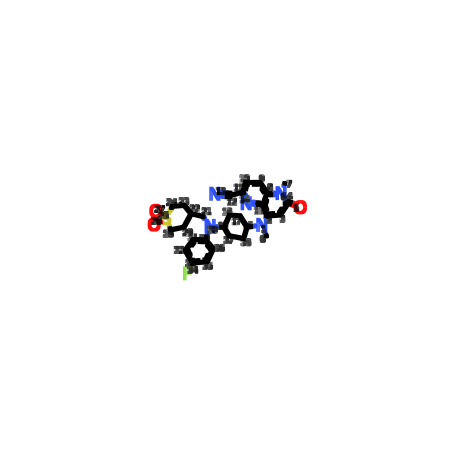 CN(c1cc(=O)n(C)c2ccc(C#N)nc12)C1CCC(N(CC2CCS(=O)(=O)CC2)c2ccc(F)cc2)CC1